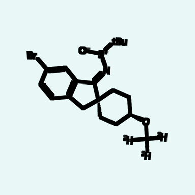 [2H]C([2H])([2H])O[C@H]1CC[C@]2(CC1)Cc1ccc(Br)cc1C2=N[S+]([O-])C(C)(C)C